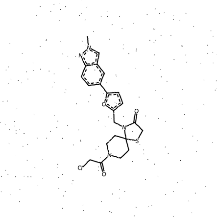 Cn1cc2cc(-c3ccc(CN4C(=O)CSC45CCN(C(=O)CCl)CC5)o3)ccc2n1